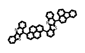 c1ccc2c(c1)-c1cccc3c(-c4c5ccccc5nc5c4sc4cccc(-c6ccc7ccc8c(-c9c%10ccccc%10nc%10c9sc9ccccc9%10)ccc9ccc6c7c98)c45)ccc-2c13